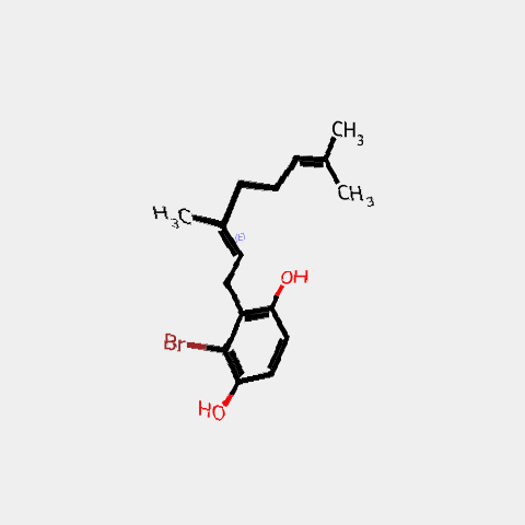 CC(C)=CCC/C(C)=C/Cc1c(O)ccc(O)c1Br